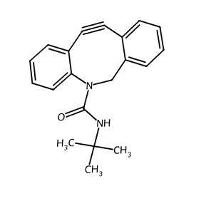 CC(C)(C)NC(=O)N1Cc2ccccc2C#Cc2ccccc21